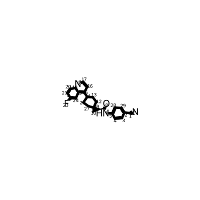 N#Cc1ccc(NC(=O)[C@H]2CC23CCC(c2ccnc4ccc(F)cc24)CC3)cc1